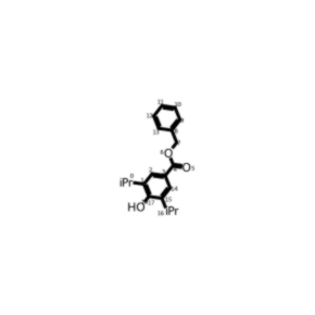 CC(C)c1cc(C(=O)OCc2ccccc2)cc(C(C)C)c1O